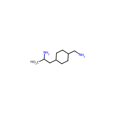 NCC1CCC(CC(N)C(=O)O)CC1